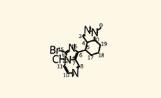 CN1N=CC2C(C3=C4C=NC=C[N+]4(Cl)C(Br)=N3)CCCC21